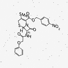 CSC1=C(C(=O)OCc2ccc([N+](=O)[O-])cc2)N2C(=O)[C@@H](NC(=O)COc3ccccc3)[C@H]2SC1